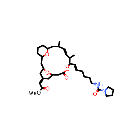 COC(=O)/C=C1\CC2CC(=O)OC(/C=C/CCCCNC(=O)N3CCCC3)C(C)/C=C/C(C)CC3CCCC(CC(C1)O2)O3